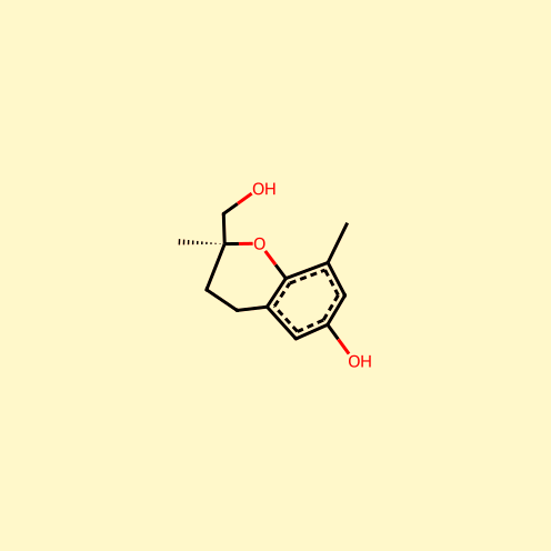 Cc1cc(O)cc2c1O[C@](C)(CO)CC2